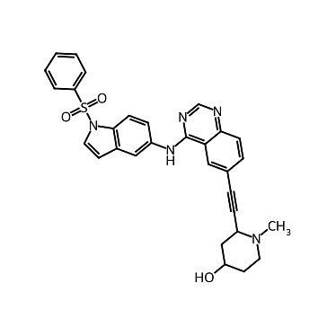 CN1CCC(O)CC1C#Cc1ccc2ncnc(Nc3ccc4c(ccn4S(=O)(=O)c4ccccc4)c3)c2c1